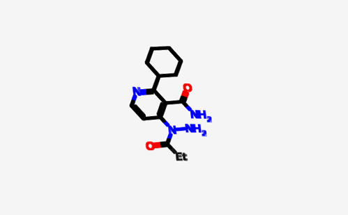 CCC(=O)N(N)c1ccnc(C2CCCCC2)c1C(N)=O